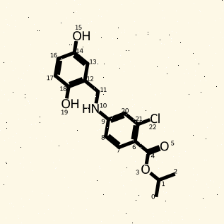 CC(C)OC(=O)c1ccc(NCc2cc(O)ccc2O)cc1Cl